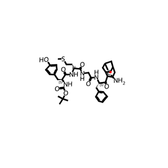 CSCC[C@@H](NC(=O)[C@H](Cc1ccc(O)cc1)NC(=O)OC(C)(C)C)C(=O)NCC(=O)N[C@@H](Cc1ccccc1)C(=O)C1C2CC3CC(C2)CC1(N)C3